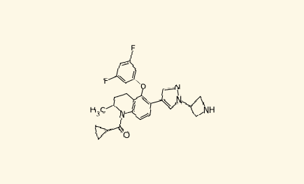 CC1CCc2c(ccc(-c3cnn(C4CNC4)c3)c2Oc2cc(F)cc(F)c2)N1C(=O)C1CC1